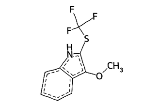 COc1c(SC(F)(F)F)[nH]c2ccccc12